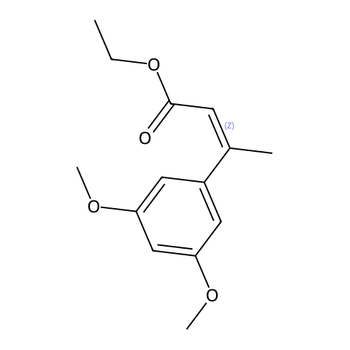 CCOC(=O)/C=C(/C)c1cc(OC)cc(OC)c1